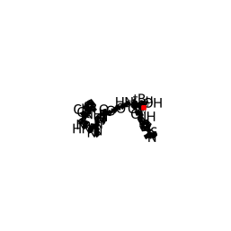 Cc1nc(Nc2ncc(C(=O)Nc3c(C)cccc3Cl)s2)cc(N2CCN(C(=O)COCCOCCN[C@H](C(=O)N3C[C@H](O)C[C@H]3C(=O)NCc3ccc(-c4scnc4C)cc3)C(C)(C)C)CC2)n1